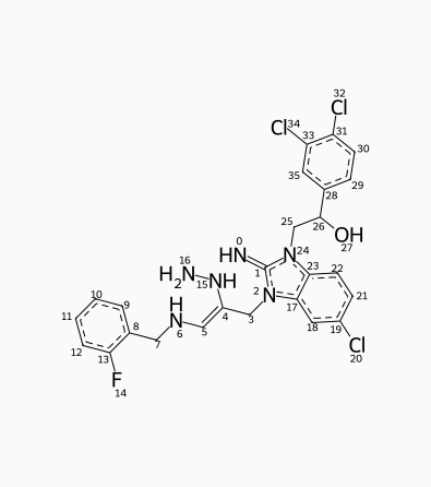 N=c1n(C/C(=C/NCc2ccccc2F)NN)c2cc(Cl)ccc2n1CC(O)c1ccc(Cl)c(Cl)c1